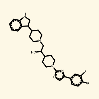 OC(CN1CCC(C2CNc3ccccc32)CC1)C1CCN(c2nc(-c3ccc(F)c(F)c3)co2)CC1